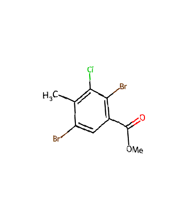 COC(=O)c1cc(Br)c(C)c(Cl)c1Br